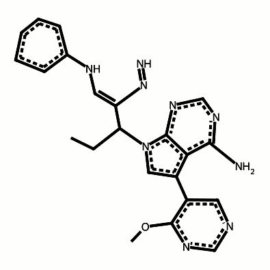 CCC(/C(=C/Nc1ccccc1)N=N)n1cc(-c2cncnc2OC)c2c(N)ncnc21